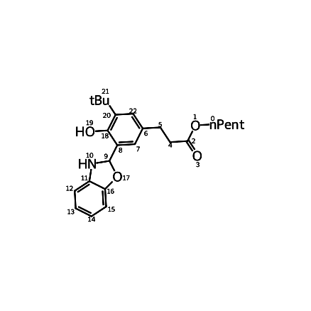 CCCCCOC(=O)CCc1cc(C2Nc3ccccc3O2)c(O)c(C(C)(C)C)c1